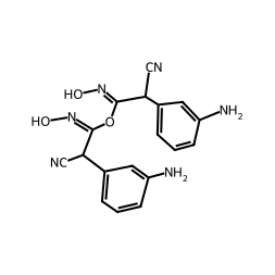 N#CC(C(=NO)OC(=NO)C(C#N)c1cccc(N)c1)c1cccc(N)c1